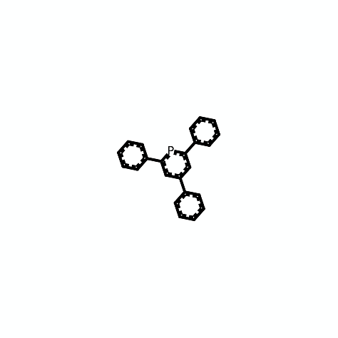 c1ccc(-c2cc(-c3ccccc3)pc(-c3ccccc3)c2)cc1